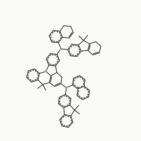 CC1(C)C2=C(C=CCC2)c2ccc(N(c3ccc4c(c3)C3CC(N(c5ccc6c(c5)C(C)(C)c5ccccc5-6)c5cccc6ccccc56)=CC5=C3N4c3ccccc3C5(C)C)c3cccc4c3C=CCC4)cc21